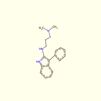 CN(C)CCCNc1[nH]c2ccccc2c1-c1ccccc1